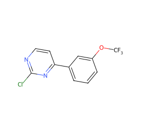 FC(F)(F)Oc1cccc(-c2ccnc(Cl)n2)c1